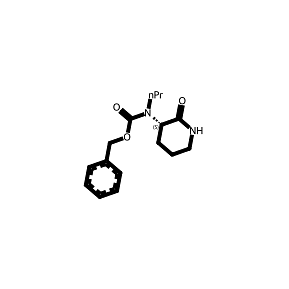 CCCN(C(=O)OCc1ccccc1)[C@H]1CCCNC1=O